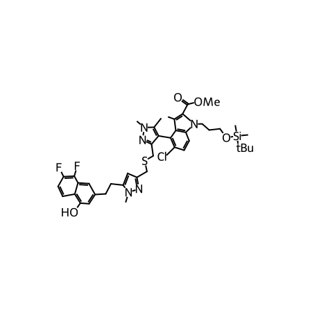 COC(=O)c1c(C)c2c(-c3c(CSCc4cc(CCc5cc(O)c6ccc(F)c(F)c6c5)n(C)n4)nn(C)c3C)c(Cl)ccc2n1CCCO[Si](C)(C)C(C)(C)C